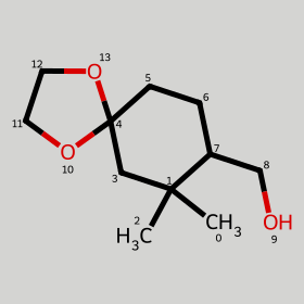 CC1(C)CC2(CCC1CO)OCCO2